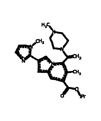 C=C(c1c(C)c(C(=O)OC(C)C)cc2cc(-c3nccn3C)cn12)N1CCN(C)CC1